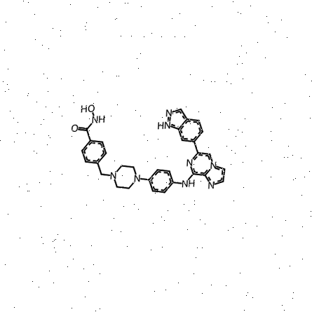 O=C(NO)c1ccc(CN2CCN(c3ccc(Nc4nc(-c5ccc6cn[nH]c6c5)cn5ccnc45)cc3)CC2)cc1